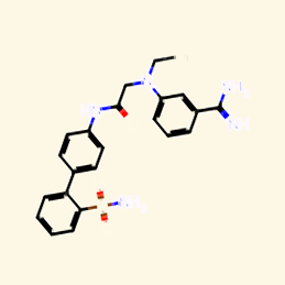 CC(C)CN(CC(=O)Nc1ccc(-c2ccccc2S(N)(=O)=O)cc1)c1cccc(C(=N)N)c1